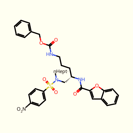 C[CH]CCCC[CH]N(C[C@H](CCCNC(=O)OCc1ccccc1)NC(=O)c1cc2ccccc2o1)S(=O)(=O)c1ccc([N+](=O)[O-])cc1